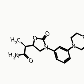 C[C@H](C(N)=O)C1CN(c2cccc(N3CCOCC3)c2)C(=O)O1